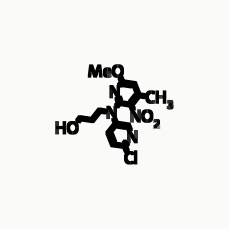 COc1cc(C)c([N+](=O)[O-])c(N(CCCO)c2ccc(Cl)nc2)n1